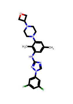 Cc1cc(Nc2ncn(-c3cc(F)cc(F)c3)n2)c(C)c(N2CCN(C3COC3)CC2)c1